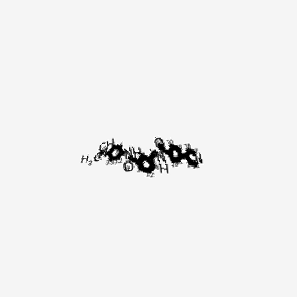 CN(C)C1CCC(NC(=O)c2cccc(CNC(=O)c3ccc(-c4ccncc4)cc3)c2)CC1